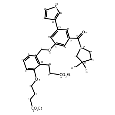 CCOC(=O)CCCOc1cccc(COc2cc(C(=O)N3CCC(F)(F)C3)cc(-c3ccsc3)c2)c1CCC(=O)OCC